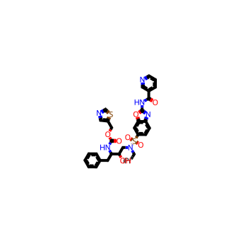 CC(C)CN(CC(O)C(Cc1ccccc1)NC(=O)OCc1cncs1)S(=O)(=O)c1ccc2nc(NC(=O)c3cccnc3)oc2c1